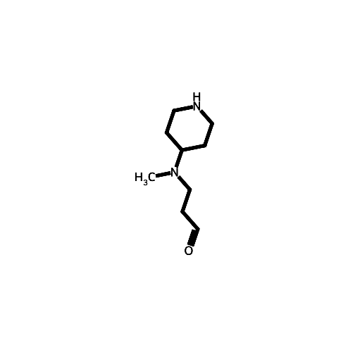 CN(CCC=O)C1CCNCC1